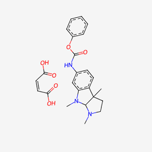 CN1CCC2(C)c3ccc(NC(=O)Oc4ccccc4)cc3N(C)C12.O=C(O)/C=C\C(=O)O